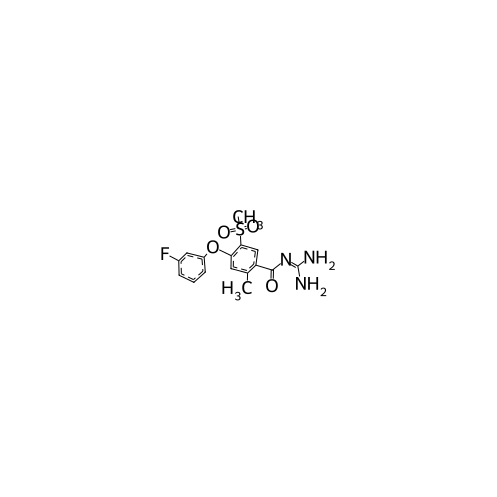 Cc1cc(Oc2cccc(F)c2)c(S(C)(=O)=O)cc1C(=O)N=C(N)N